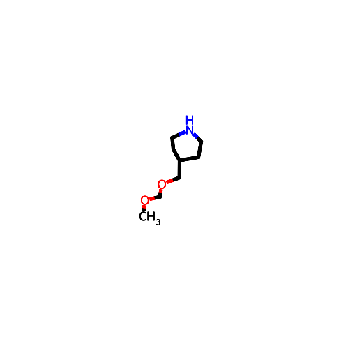 COCOCC1CCNCC1